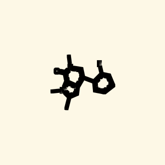 Cc1cc2c(-c3ccccc3F)cn(C)c(=O)c2n1C